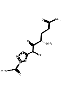 CC[C](C(=O)[C@@H](N)CCC(N)=O)c1nnn(C(=O)NC)n1